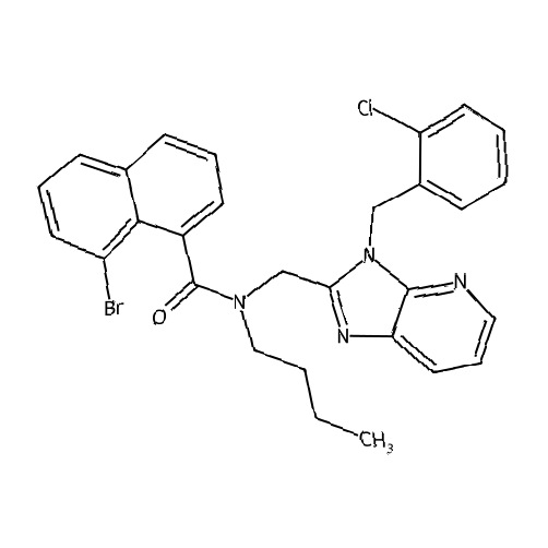 CCCCN(Cc1nc2cccnc2n1Cc1ccccc1Cl)C(=O)c1cccc2cccc(Br)c12